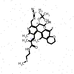 CSCCNC(=O)/C(C)=C/c1c(C)nc(CN=[N+]=[N-])c([C@H](OC(C)(C)C)C(=O)O)c1-c1cc(F)c2c(c1C)CCCO2